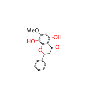 COc1cc(O)c2c(c1O)OC(c1ccccc1)CC2=O